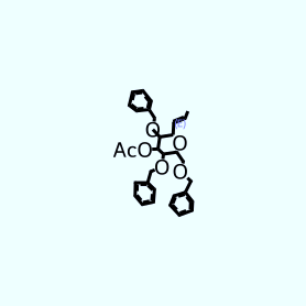 C/C=C/C1OC(COCc2ccccc2)C(OCc2ccccc2)C(OC(C)=O)C1OCc1ccccc1